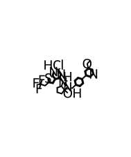 COc1cncc(-c2ccc(CNC3(O)CCCC3N(C)c3ncnc4sc(CC(F)(F)F)cc34)cc2)c1.Cl